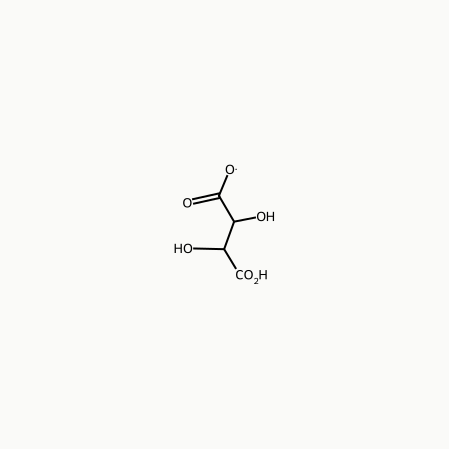 [O]C(=O)C(O)C(O)C(=O)O